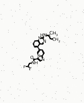 CC[C@H](C)Nc1ncc2c(n1)CCC=C2c1ccc2ncc(C(=O)NCC(F)F)n2c1